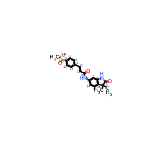 CC1(C)C(=O)Nc2cc(NC(=O)C=Cc3ccc(S(C)(=O)=O)cc3)ccc21